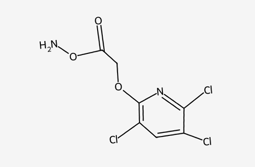 NOC(=O)COc1nc(Cl)c(Cl)cc1Cl